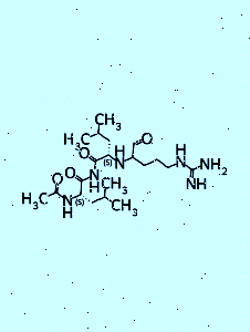 CC(=O)N[C@@H](CC(C)C)C(=O)NC(=O)[C@H](CC(C)C)NC(C=O)CCCNC(=N)N